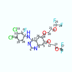 Fc1c(Nc2ncnc3cc(OCCOC(F)F)c(OCCOC(F)F)cc23)ccc(Cl)c1Cl